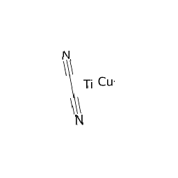 N#CC#N.[Cu].[Ti]